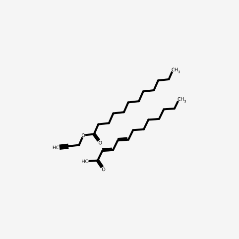 C#CCOC(=O)CCCCCCCCCCC.CCCCCCCC=CC=CC(=O)O